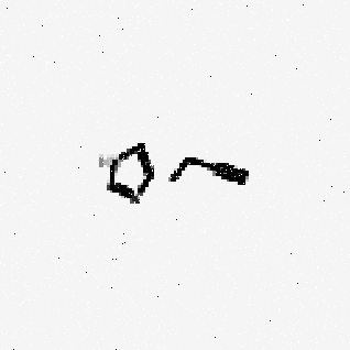 C#CCC.c1c[nH]cn1